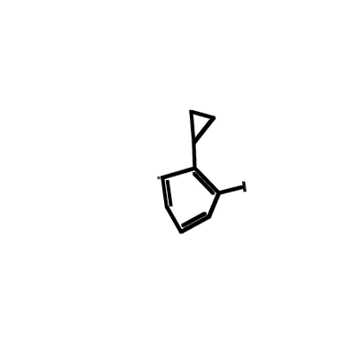 Ic1ccc[c]c1C1CC1